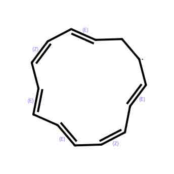 [CH]1/C=C/C=C\C=C\C=C\C=C/C=C/C1